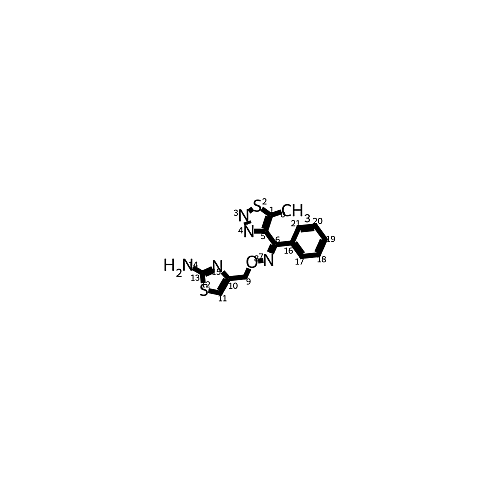 Cc1snnc1/C(=N\OCc1csc(N)n1)c1ccccc1